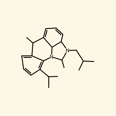 CC(C)CN1C2C=CC=C3C(C)c4cccc(C(C)C)c4N(C32)C1C